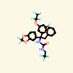 O=C(NCC(F)(F)F)NC(Cc1ccccc1)(c1cc(F)cc(OC(F)(F)C(F)F)c1)c1ccc2c(c1)OC(F)(F)O2